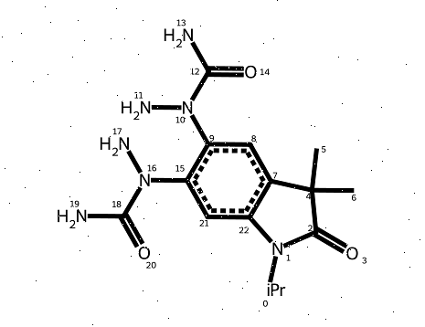 CC(C)N1C(=O)C(C)(C)c2cc(N(N)C(N)=O)c(N(N)C(N)=O)cc21